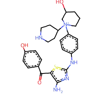 Nc1nc(Nc2ccc([N+]3(C4CCNCC4)CCCC(O)C3)cc2)sc1C(=O)c1ccc(O)cc1